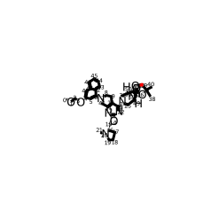 COCOc1cc(N2CCc3c(nc(OC[C@@H]4CCCN4C)nc3N3C[C@H]4C[C@@H](OC)[C@@H](C3)N4C(=O)OC(C)(C)C)C2)c2ccccc2c1